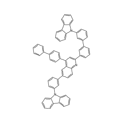 c1ccc(-c2ccc(-c3cc(-c4cccc(-c5cccc(-n6c7ccccc7c7ccccc76)c5)c4)nc4ccc(-c5cccc(-n6c7ccccc7c7ccccc76)c5)cc34)cc2)cc1